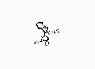 CC(C)n1nc(-c2c(C=O)nn3ccccc23)ccc1=O